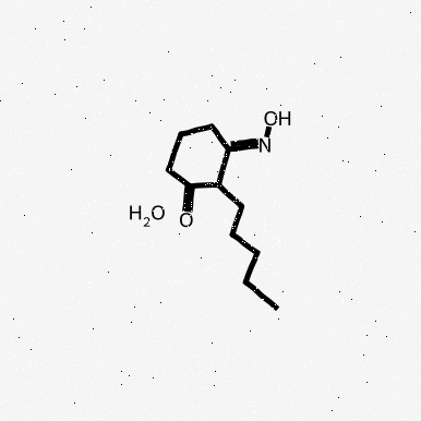 CCCCCC1C(=O)CCCC1=NO.O